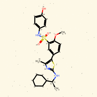 COc1ccc(-c2sc(N[C@@H](C)C3CCCCC3)nc2C)cc1S(=O)(=O)Nc1ccc(O)cc1